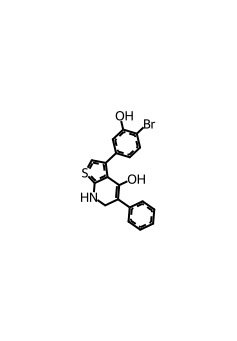 OC1=C(c2ccccc2)CNc2scc(-c3ccc(Br)c(O)c3)c21